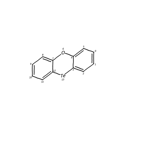 c1ccc2c(c1)Oc1ccccc1[Te]2